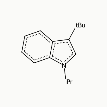 CC(C)n1cc(C(C)(C)C)c2ccccc21